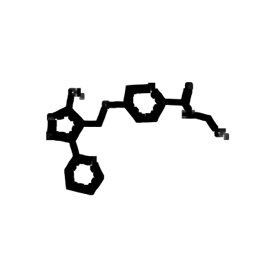 Cc1onc(-c2ccccn2)c1COc1ccc(C(=O)NCC(F)(F)F)nc1